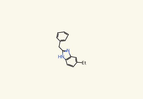 CCc1ccc2[nH]c(Cc3ccccc3)nc2c1